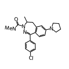 CNC(=O)N1N=C(c2ccc(Cl)cc2)c2ccc(N3CCCC3)cc2CC1C